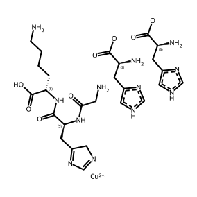 NCCCC[C@H](NC(=O)[C@H](CC1=NC=NC1)NC(=O)CN)C(=O)O.N[C@@H](Cc1c[nH]cn1)C(=O)[O-].N[C@@H](Cc1c[nH]cn1)C(=O)[O-].[Cu+2]